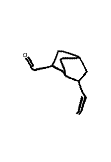 C=CC1CC2C[C]1C(C=O)C2